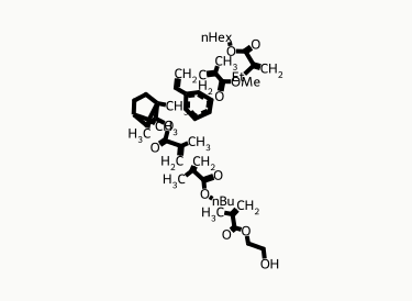 C=C(C)C(=O)OC.C=C(C)C(=O)OC1CC2CCC1(C)C2(C)C.C=C(C)C(=O)OCCCC.C=C(C)C(=O)OCCO.C=C(CC)C(=O)OCCCCCC.C=Cc1ccccc1